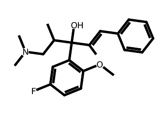 COc1ccc(F)cc1C(O)(C(C)=Cc1ccccc1)C(C)CN(C)C